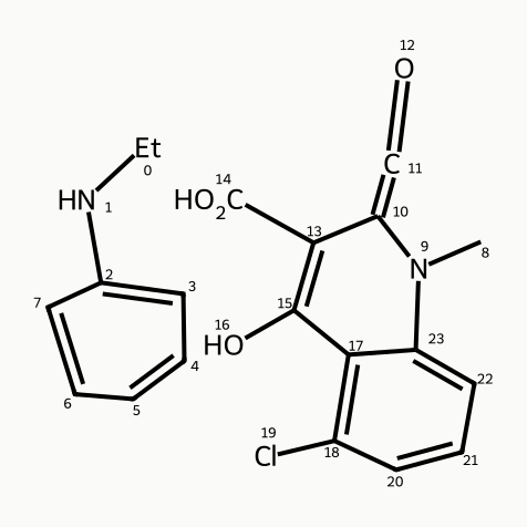 CCNc1ccccc1.CN1C(=C=O)C(C(=O)O)=C(O)c2c(Cl)cccc21